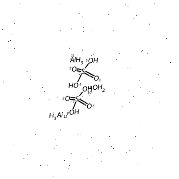 O.O=S(=O)(O)O.O=S(=O)(O)O.[AlH3].[AlH3]